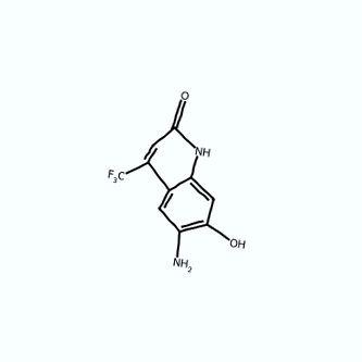 Nc1cc2c(C(F)(F)F)cc(=O)[nH]c2cc1O